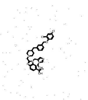 CCn1cncc1Cn1c(CN2CCC(Cc3cccc(COc4ccc(Cl)cc4Cl)c3)CC2)nc2ccc(C(=O)O)cc21